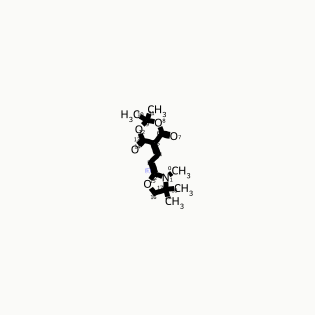 CN1/C(=C\C=C2C(=O)OC(C)(C)OC2=O)OCC1(C)C